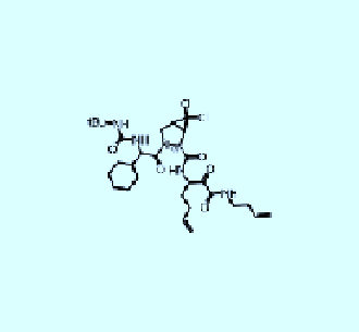 C=CCCNC(=O)C(=O)C(CCC=C)NC(=O)[C@@H]1C2C(CN1C(=O)C(NC(=O)NC(C)(C)C)C1CCCCC1)C2(Cl)Cl